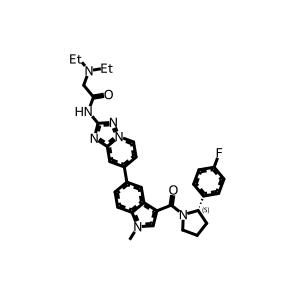 CCN(CC)CC(=O)Nc1nc2cc(-c3ccc4c(c3)c(C(=O)N3CCC[C@H]3c3ccc(F)cc3)cn4C)ccn2n1